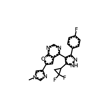 Cn1cnc(-c2cc3c(-c4c(-c5ccc(F)cc5)n[nH]c4C4CC4(F)F)ncnc3o2)c1